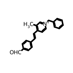 Cc1c[n+](Cc2ccccc2)ccc1C=Cc1ccc(C=O)cc1